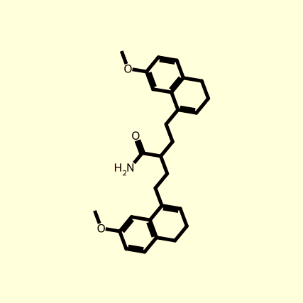 COc1ccc2c(c1)C(CCC(CCC1=CCCc3ccc(OC)cc31)C(N)=O)=CCC2